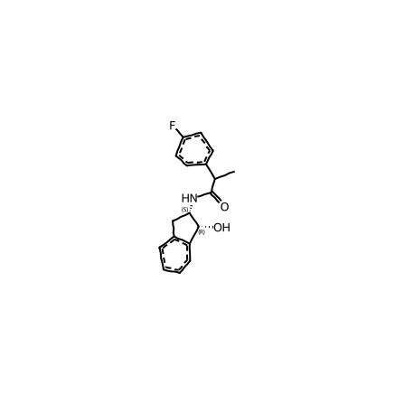 CC(C(=O)N[C@H]1Cc2ccccc2[C@H]1O)c1ccc(F)cc1